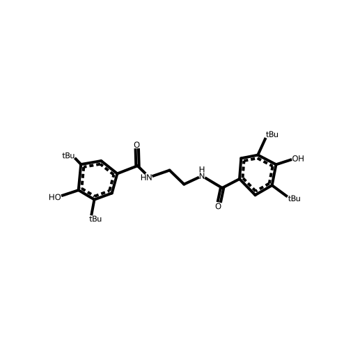 CC(C)(C)c1cc(C(=O)NCCNC(=O)c2cc(C(C)(C)C)c(O)c(C(C)(C)C)c2)cc(C(C)(C)C)c1O